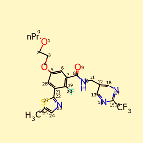 CCCOCCOc1cc(C(=O)NCc2cnc(C(F)(F)F)nc2)c(F)c(-c2ncc(C)s2)c1